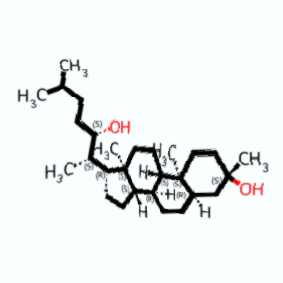 CC(C)CC[C@H](O)[C@@H](C)[C@H]1CC[C@H]2[C@@H]3CC[C@@H]4C[C@@](C)(O)CC[C@]4(C)[C@H]3CC[C@]12C